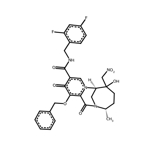 C[C@H]1CCC(O)(C[N+](=O)[O-])[C@H]2CN1C(=O)c1c(OCc3ccccc3)c(=O)c(C(=O)NCc3ccc(F)cc3F)cn12